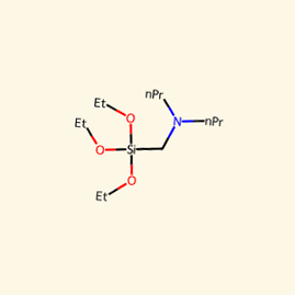 CCCN(CCC)C[Si](OCC)(OCC)OCC